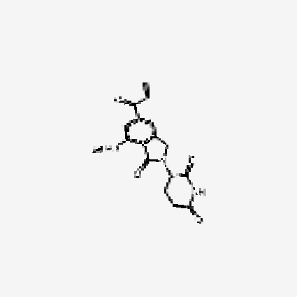 C=CC(=O)c1cc2c(c(OC)c1)C(=O)N(C1CCC(=O)NC1=O)C2